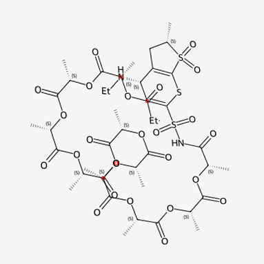 C[CH]C(=O)O[C@@H](C)C(=O)O[C@@H](C)C(=O)O[C@@H](C)C(=O)O[C@@H](C)C(=O)O[C@@H](C)C(=O)O[C@@H](C)C(=O)O[C@@H](C)C(=O)O[C@@H](C)C(=O)O[C@@H](C)C(=O)O[C@@H](C)C(=O)NS(=O)(=O)C1=C[C@H](NCC)C2=C(S1)S(=O)(=O)[C@@H](C)C2